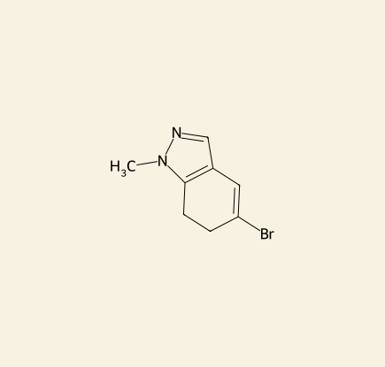 Cn1ncc2c1CCC(Br)=C2